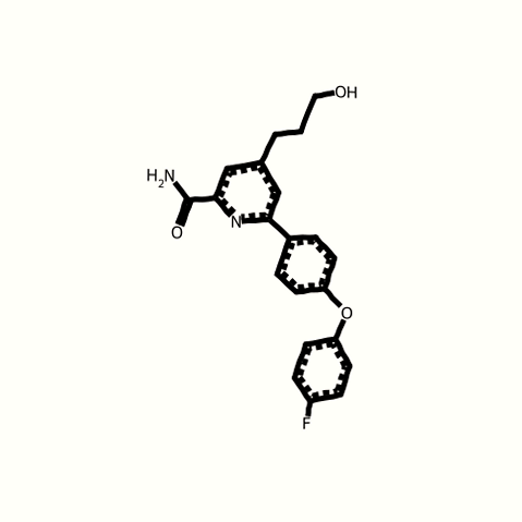 NC(=O)c1cc(CCCO)cc(-c2ccc(Oc3ccc(F)cc3)cc2)n1